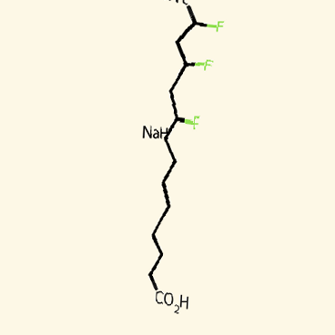 CCCCCC(F)CC(F)CC(F)CCCCCCCC(=O)O.[NaH]